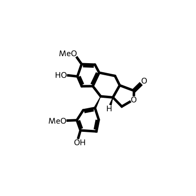 COc1cc([C@H]2c3cc(O)c(OC)cc3CC3C(=O)OC[C@@H]32)ccc1O